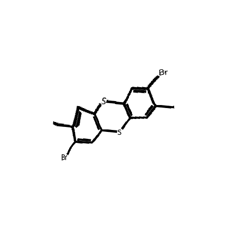 Cc1cc2c(cc1Br)Sc1cc(C)c(Br)cc1S2